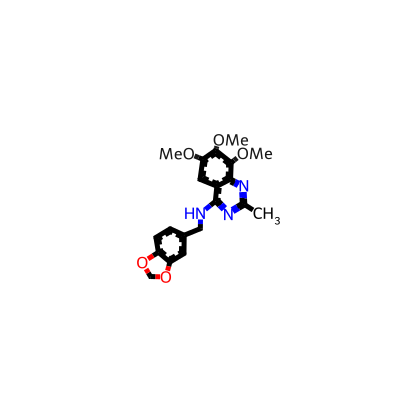 COc1cc2c(NCc3ccc4c(c3)OCO4)nc(C)nc2c(OC)c1OC